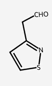 O=CCc1ccsn1